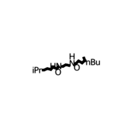 CCCCC(C)CCC(=O)NCCCNC(=O)CCCCC(C)C